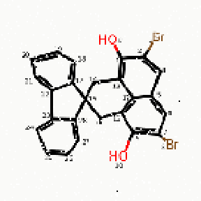 Oc1c(Br)cc2cc(Br)c(O)c3c2c1CC1(C3)c2ccccc2-c2ccccc21